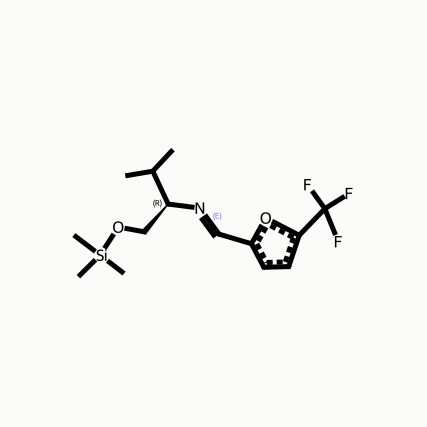 CC(C)[C@H](CO[Si](C)(C)C)/N=C/c1ccc(C(F)(F)F)o1